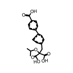 CC(C)OC(Cc1ccc(-c2ccc(C(=O)O)cc2)cc1)(C(=O)O)C(=O)O